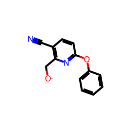 N#Cc1ccc(Oc2ccccc2)nc1C[O]